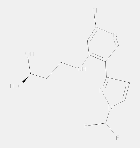 C[C@@H](O)CCNc1cc(Cl)ncc1-c1ccn(C(F)F)n1